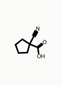 N#CC1(C(=O)O)CCCC1